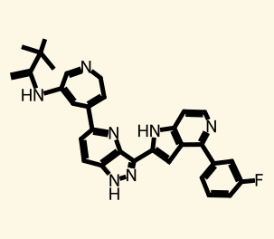 C=C(NC1=CC(c2ccc3[nH]nc(-c4cc5c(-c6cccc(F)c6)nccc5[nH]4)c3n2)=CCN=C1)C(C)(C)C